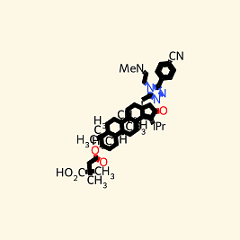 CNCCn1c(C[C@@]23CC[C@]4(C)[C@H](CC[C@@H]5[C@@]6(C)CC[C@H](OC(=O)CC(C)(C)C(=O)O)C(C)(C)C6CC[C@]54C)C2=C(C(C)C)C(=O)C3)nnc1-c1ccc(C#N)cc1